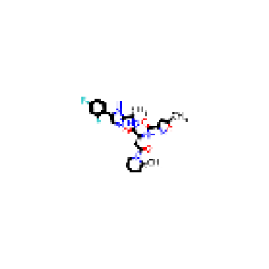 Cc1cc(C(=O)N[C@@H](CC(=O)N2CCCC[C@@H]2C)C(=O)N[C@@H](C)c2ncc(-c3ccc(F)cc3F)[nH]2)no1